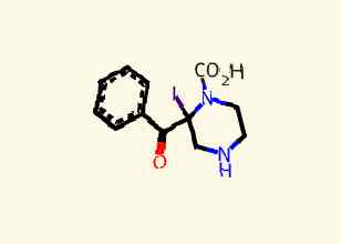 O=C(O)N1CCNCC1(I)C(=O)c1ccccc1